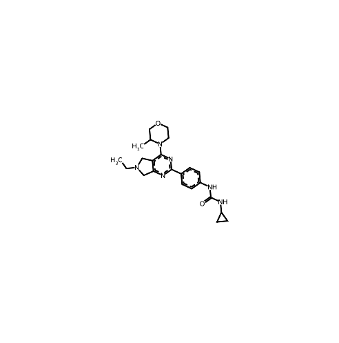 CCN1Cc2nc(-c3ccc(NC(=O)NC4CC4)cc3)nc(N3CCOCC3C)c2C1